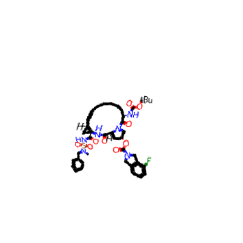 CN(Cc1ccccc1)S(=O)(=O)NC(=O)[C@@]12C[C@H]1/C=C\CCCCC[C@H](NC(=O)OC(C)(C)C)C(=O)N1C[C@H](OC(=O)N3Cc4cccc(F)c4C3)C[C@H]1C(=O)N2